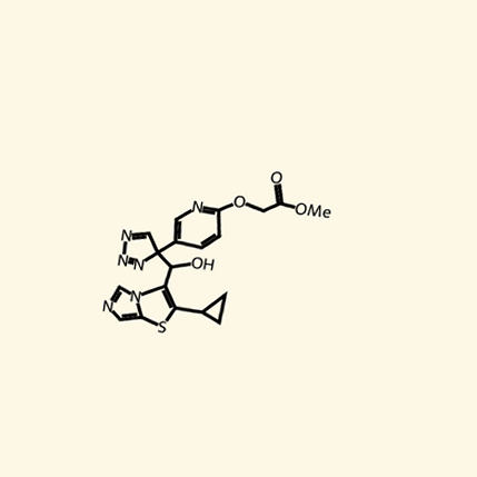 COC(=O)COc1ccc(C2(C(O)c3c(C4CC4)sc4cncn34)C=NN=N2)cn1